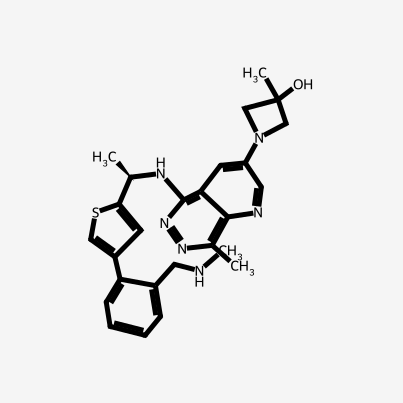 CNCc1ccccc1-c1csc([C@@H](C)Nc2nnc(C)c3ncc(N4CC(C)(O)C4)cc23)c1